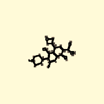 CN1CCN(c2c(F)cc3c(=O)c(C(=O)O)cn(C4COC4)c3c2Cl)CC1